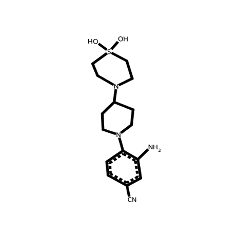 N#Cc1ccc(N2CCC(N3CCS(O)(O)CC3)CC2)c(N)c1